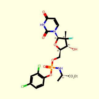 CCOC(=O)[C@H](C)NP(=O)(OC[C@H]1O[C@@H](n2ccc(=O)[nH]c2=O)[C@](C)(F)[C@@H]1O)Oc1ccc(Cl)cc1Cl